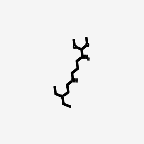 CCN(CC)CCNCCC[SiH2]C(OC)OC